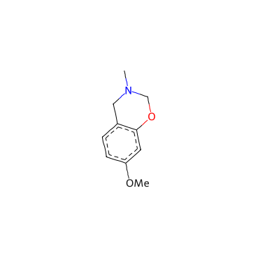 COc1ccc2c(c1)OCN(C)C2